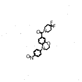 O=Nc1ccc(N2CCOc3cc(C(=O)N4CCC(F)(F)CC4)ccc32)cc1